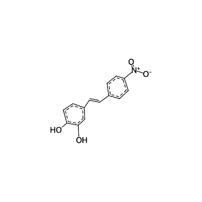 O=[N+]([O-])c1ccc(C=Cc2ccc(O)c(O)c2)cc1